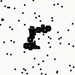 CCC(C(=O)Oc1cc2c(s1)CCN([C@H](C(=O)OC)c1ccccc1Cl)C2)c1ccc(-n2ccc3ccccc3c2=O)cc1